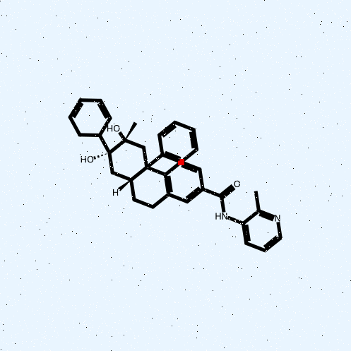 Cc1ncccc1NC(=O)c1ccc2c(c1)CC[C@@H]1C[C@@](O)(C3C=CC=CC3)[C@](C)(O)CC21c1ccccc1